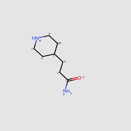 NC(=O)CCC1CCNCC1